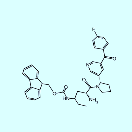 CCC(C[C@H](N)C(=O)N1CCC[C@H]1c1cncc(C(=O)c2ccc(F)cc2)c1)NC(=O)OCC1c2ccccc2-c2ccccc21